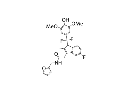 COc1cc(C(F)(F)C2C(C)=C(CC(=O)NCc3ccco3)c3cc(F)ccc32)cc(OC)c1O